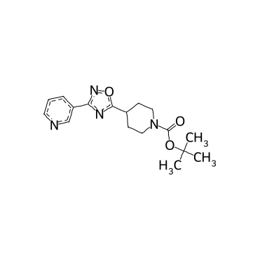 CC(C)(C)OC(=O)N1CCC(c2nc(-c3cccnc3)no2)CC1